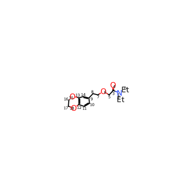 CCN(CC)C(=O)COCCc1ccc2c(c1)OCCO2